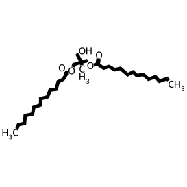 CCCCCCCCCCCCCC(=O)OCC(C)(CO)COC(=O)CCCCCCCCCCCCC